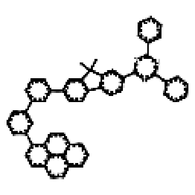 CC1(C)c2cc(-c3cccc(-c4cccc(-c5ccc6ccc7cccc8ccc5c6c78)c4)c3)ccc2-c2ccc(-c3nc(-c4ccccc4)nc(-c4ccccc4)n3)cc21